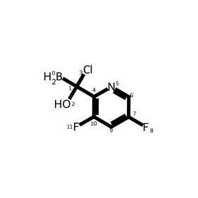 BC(O)(Cl)c1ncc(F)cc1F